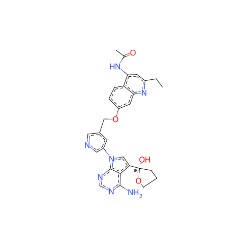 CCc1cc(NC(C)=O)c2ccc(OCc3cncc(-n4cc([C@@]5(O)CCCO5)c5c(N)ncnc54)c3)cc2n1